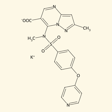 Cc1cc2ncc(C(=O)[O-])c(N(C)S(=O)(=O)c3ccc(Oc4ccncc4)cc3)n2n1.[K+]